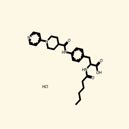 CCCCCC(=O)NC(Cc1ccc(NC(=O)C2CCN(c3ccncc3)CC2)cc1)C(=O)O.Cl